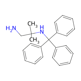 CC(C)(CN)NC(c1ccccc1)(c1ccccc1)c1ccccc1